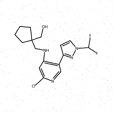 OCC1(CNc2cc(Cl)ncc2-c2ccn(C(F)F)n2)CCCC1